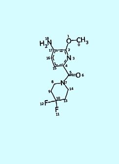 COc1nc(C(=O)N2CCC(F)(F)CC2)ccc1N